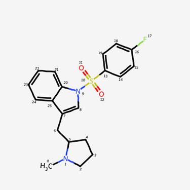 CN1CCCC1Cc1cn(S(=O)(=O)c2ccc(F)cc2)c2ccccc12